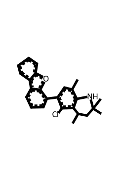 Cc1cc(-c2cccc3c2oc2ccccc23)c(Cl)c2c1NC(C)(C)CC2C